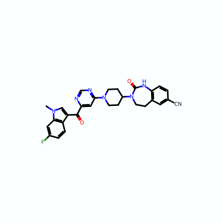 Cn1cc(C(=O)c2cc(N3CCC(N4CCc5cc(C#N)ccc5NC4=O)CC3)ncn2)c2ccc(F)cc21